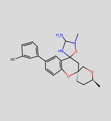 C[C@H]1CC[C@@]2(CO1)CC1(NC(N)N(C)O1)c1cc(-c3cccc(C#N)c3)ccc1O2